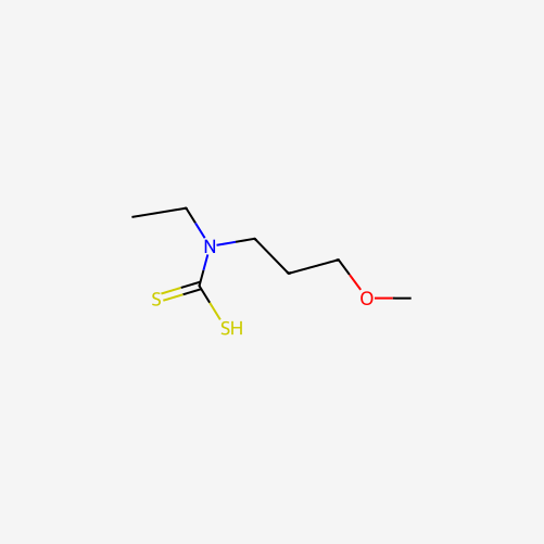 CCN(CCCOC)C(=S)S